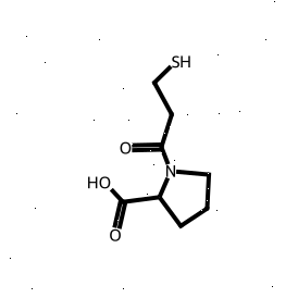 O=C(O)C1CCCN1C(=O)CCS